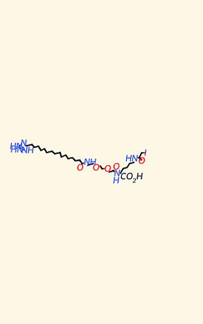 O=C(CI)NCCCCC(NC(=O)COCCOCCNC(=O)CCCCCCCCCCCCCCCC1=NNNN1)C(=O)O